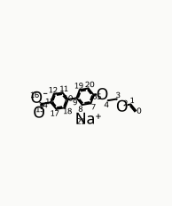 C=COCCOc1ccc(-c2ccc(C(=O)[O-])cc2)cc1.[Na+]